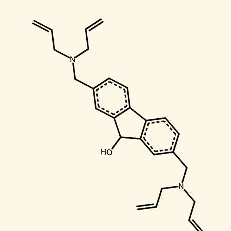 C=CCN(CC=C)Cc1ccc2c(c1)C(O)c1cc(CN(CC=C)CC=C)ccc1-2